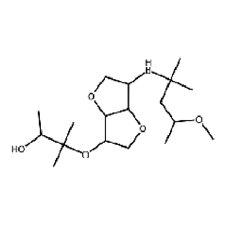 COC(C)CC(C)(C)BC1COC2C(OC(C)(C)C(C)O)COC12